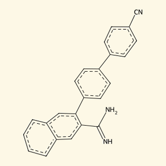 N#Cc1ccc(-c2ccc(-c3cc4ccccc4cc3C(=N)N)cc2)cc1